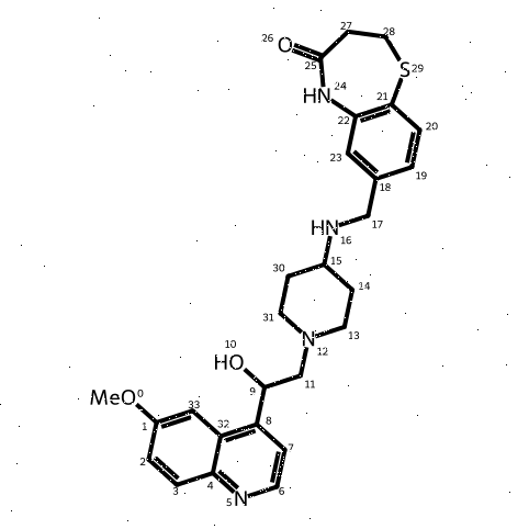 COc1ccc2nccc(C(O)CN3CCC(NCc4ccc5c(c4)NC(=O)CCS5)CC3)c2c1